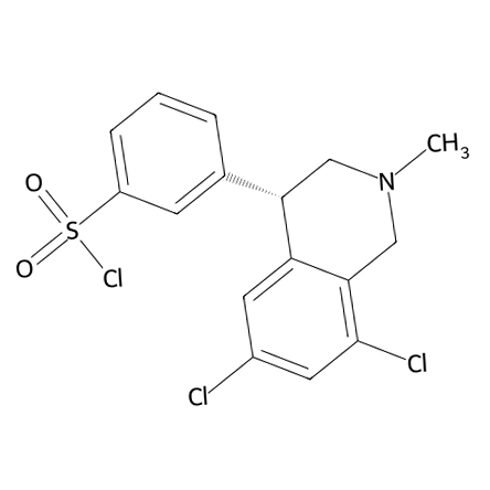 CN1Cc2c(Cl)cc(Cl)cc2[C@H](c2cccc(S(=O)(=O)Cl)c2)C1